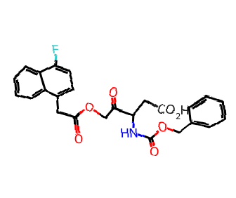 O=C(O)CC(NC(=O)OCc1ccccc1)C(=O)COC(=O)Cc1ccc(F)c2ccccc12